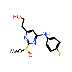 COS(=O)c1nc(CCO)cc(Nc2ccc(F)cc2)n1